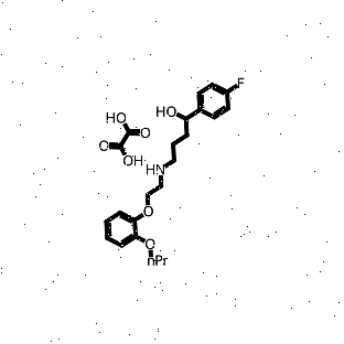 CCCOc1ccccc1OCCNCCCC(O)c1ccc(F)cc1.O=C(O)C(=O)O